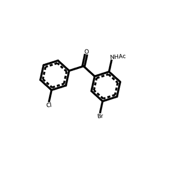 CC(=O)Nc1ccc(Br)cc1C(=O)c1cccc(Cl)c1